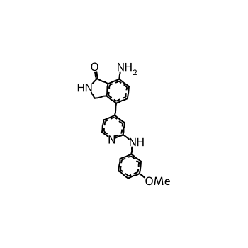 COc1cccc(Nc2cc(-c3ccc(N)c4c3CNC4=O)ccn2)c1